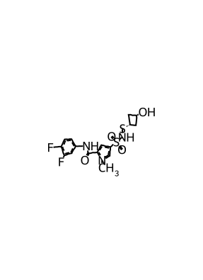 Cn1cc(S(=O)(=O)NS[C@H]2C[C@H](O)C2)cc1C(=O)Nc1ccc(F)c(F)c1